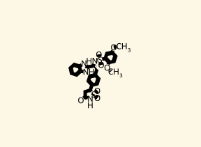 COc1ccc(OC)c(S(=O)(=O)N[C@@H](Cc2ccc(C3CC(=O)NS3(=O)=O)cc2)c2nc3ccccc3[nH]2)c1